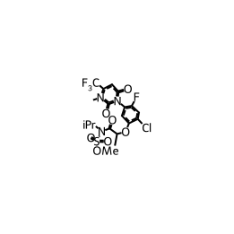 COS(=O)(=O)N(C(=O)C(C)Oc1cc(-n2c(=O)cc(C(F)(F)F)n(C)c2=O)c(F)cc1Cl)C(C)C